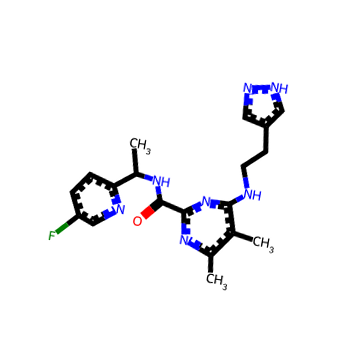 Cc1nc(C(=O)NC(C)c2ccc(F)cn2)nc(NCCc2cn[nH]c2)c1C